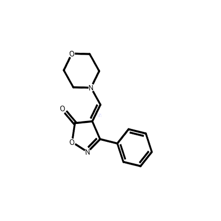 O=C1ON=C(c2ccccc2)/C1=C/N1CCOCC1